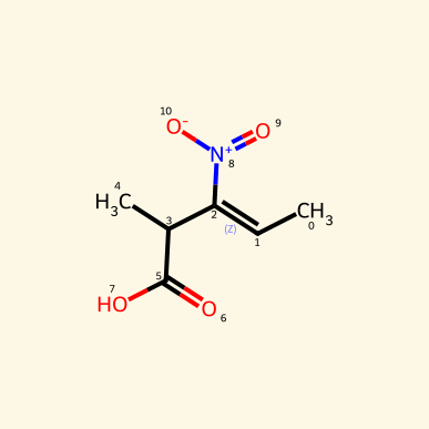 C/C=C(/C(C)C(=O)O)[N+](=O)[O-]